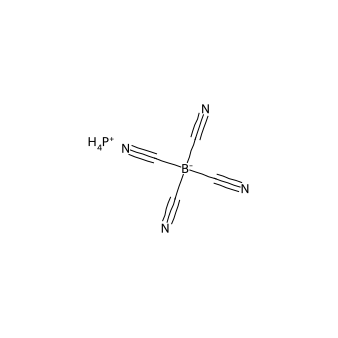 N#C[B-](C#N)(C#N)C#N.[PH4+]